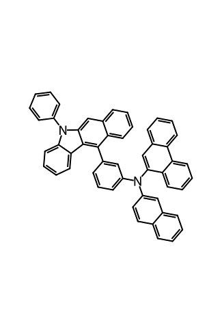 c1ccc(-n2c3ccccc3c3c(-c4cccc(N(c5ccc6ccccc6c5)c5cc6ccccc6c6ccccc56)c4)c4ccccc4cc32)cc1